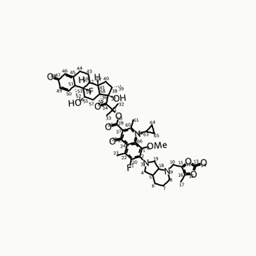 COc1c(N2CC3CCCN(Cc4oc(=O)oc4C)C3C2)c(F)c(C)c2c(=O)c(C(=O)OC(C)(C)C(=O)[C@@]3(O)[C@@H](C)C[C@H]4[C@@H]5CCC6=CC(=O)C=C[C@]6(C)[C@@]5(F)[C@@H](O)C[C@@]43C)c(C)n(C3CC3)c12